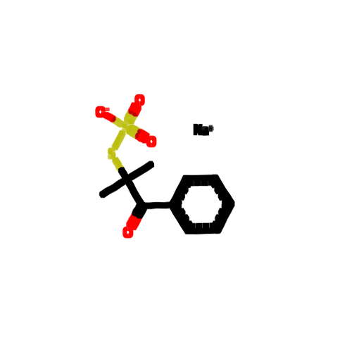 CC(C)(SS(=O)(=O)[O-])C(=O)c1ccccc1.[Na+]